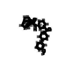 COc1cccc(N2CCN(C(=O)N3CCC[C@H](NC(=O)C45CC6CC(C4)C(O)C(C6)C5)C3)CC2)c1